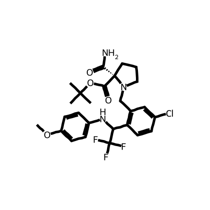 COc1ccc(NC(c2ccc(Cl)cc2CN2CCC[C@]2(C(N)=O)C(=O)OC(C)(C)C)C(F)(F)F)cc1